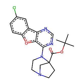 CC(C)(C)OC(=O)C12CCN(CCN1c1ncnc3c1oc1ccc(Cl)cc13)C2